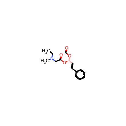 CCN(C)CC(=O)OB(/C=C/c1ccccc1)OC=O